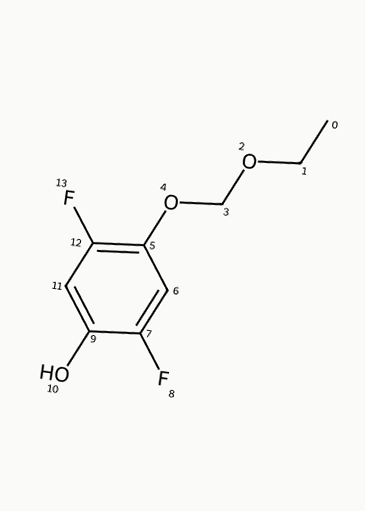 CCOCOc1cc(F)c(O)cc1F